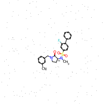 CN([C@H]1CCN(Cc2cccc(C#N)c2)C1=O)S(=O)(=O)c1ccc(-c2ccccc2)c(F)c1